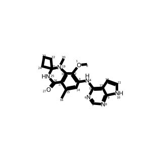 COc1c(Nc2ncnc3[nH]ccc23)cc(C)c2c1N(C)C1(CCC1)NC2=O